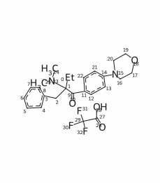 CCC(Cc1ccccc1)(C(=O)c1ccc(N2CCOCC2)cc1)N(C)C.O=C(O)C(F)(F)F